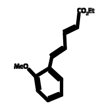 CCOC(=O)C=CC=Cc1ccccc1OC